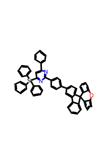 c1ccc(-c2cc([Si](c3ccccc3)(c3ccccc3)c3ccccc3)nc(-c3ccc(-c4ccc5c(c4)-c4ccccc4C54c5ccccc5Oc5ccccc54)cc3)n2)cc1